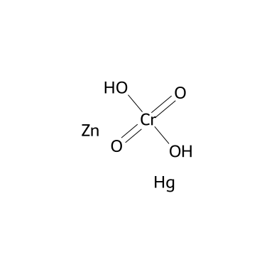 [Hg].[O]=[Cr](=[O])([OH])[OH].[Zn]